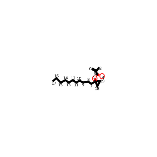 C=C(C)C(=O)OC1(CCCCCCCCCCC)CC1